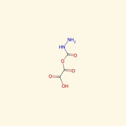 NNC(=O)OC(=O)C(=O)O